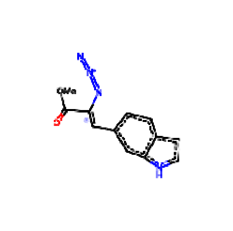 COC(=O)/C(=C/c1ccc2cc[nH]c2c1)N=[N+]=[N-]